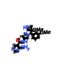 COc1cccc(C(n2cc(NC(=O)c3cncnc3N)cn2)C2(OC)CNC2)c1